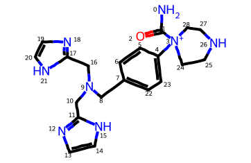 NC(=O)[N+]1(c2ccc(CN(Cc3ncc[nH]3)Cc3ncc[nH]3)cc2)CCNCC1